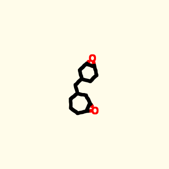 C1CC(CC2CCC3OC3C2)CC2OC2C1